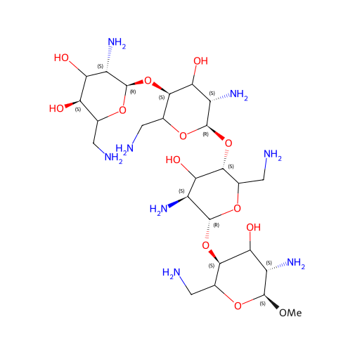 CO[C@H]1OC(CN)[C@@H](O[C@H]2OC(CN)[C@@H](O[C@H]3OC(CN)[C@@H](O[C@H]4OC(CN)[C@@H](O)C(O)[C@@H]4N)C(O)[C@@H]3N)C(O)[C@@H]2N)C(O)[C@@H]1N